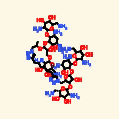 CC(Cn1cc(CCCCCCc2cn(C[C@H]3O[C@@H](O[C@H]4C(O[C@H]5OC(CN)C(O)[C@H](O)C5N)C(N)C[C@@H](N)C4O)C(O)C3O[C@H]3O[C@@H](CN)C(O)C(O)C3N)nn2)nn1)O[C@@H](O[C@H]1C(O[C@H]2OC(CN)C(O)[C@H](O)C2N)C(N)C[C@@H](N)C1O)C(O)CO[C@H]1O[C@@H](CN)C(O)C(O)C1N